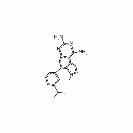 CC(C)c1cccc(-c2cc3nc(N)nc(N)c3c3ccn(C)c23)c1